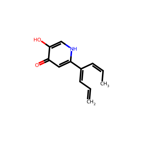 C=C/C=C(\C=C/C)c1cc(=O)c(O)c[nH]1